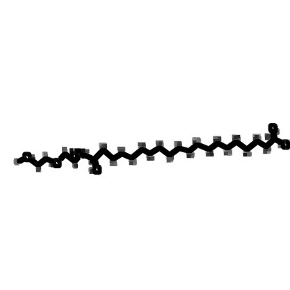 COCCOCCNC(=O)CCCCCCCCCCCCCCCCCCC(=O)O